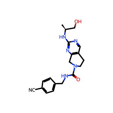 C[C@@H](CO)Nc1ncc2c(n1)CN(C(=O)NCc1ccc(C#N)cc1)CC2